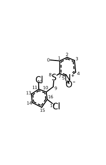 Cc1ccc[n+]([O-])c1SCc1c(Cl)cccc1Cl